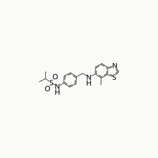 Cc1c(NCc2ccc(NS(=O)(=O)C(C)C)cc2)ccc2ncsc12